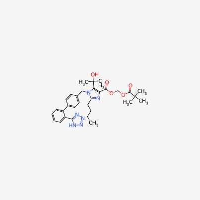 CCCCc1nc(C(=O)OCOC(=O)C(C)(C)C)c(C(C)(C)O)n1Cc1ccc(-c2ccccc2-c2nnn[nH]2)cc1